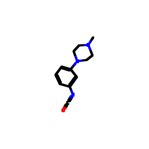 CN1CCN(c2cccc(N=C=O)c2)CC1